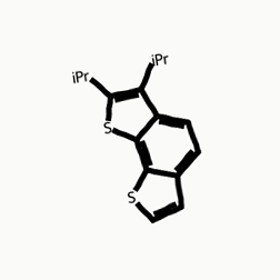 CC(C)c1sc2c(ccc3ccsc32)c1C(C)C